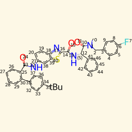 CN(Cc1ccc(F)cc1)C(=O)[C@@H](NC(=O)c1nc2ccc(NC(=O)c3ccccc3-c3ccc(C(C)(C)C)cc3)cc2s1)c1ccccc1